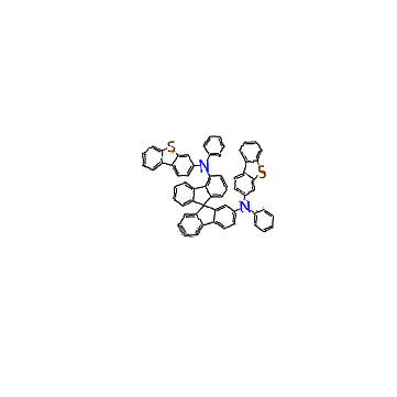 c1ccc(N(c2ccc3c(c2)C2(c4ccccc4-3)c3ccccc3-c3c(N(c4ccccc4)c4ccc5c(c4)sc4ccccc45)cccc32)c2ccc3c(c2)sc2ccccc23)cc1